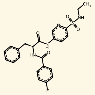 CCNS(=O)(=O)c1ccc(NC(=O)[C@H](Cc2ccccc2)NC(=O)c2ccc(F)cc2)cn1